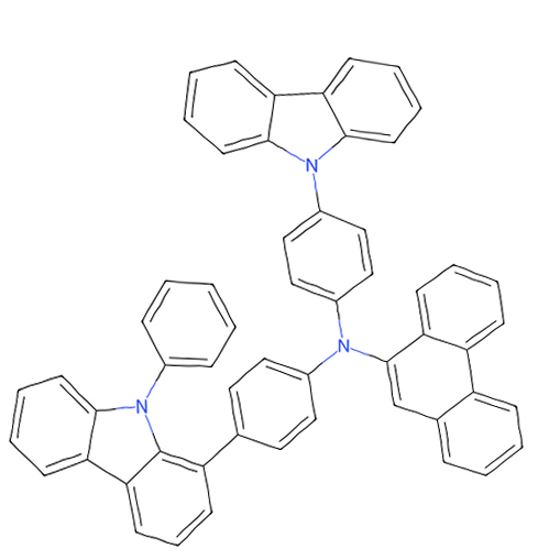 c1ccc(-n2c3ccccc3c3cccc(-c4ccc(N(c5ccc(-n6c7ccccc7c7ccccc76)cc5)c5cc6ccccc6c6ccccc56)cc4)c32)cc1